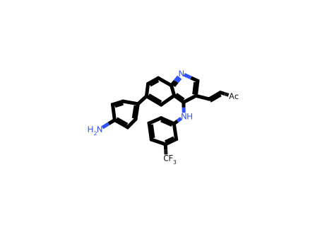 CC(=O)/C=C/c1cnc2ccc(-c3ccc(N)cc3)cc2c1Nc1cccc(C(F)(F)F)c1